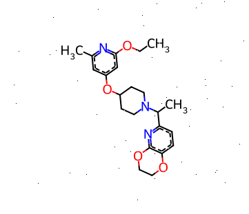 CCOc1cc(OC2CCN(C(C)c3ccc4c(n3)OCCO4)CC2)cc(C)n1